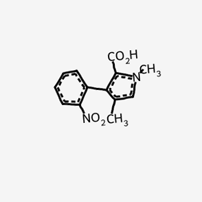 Cc1cn(C)c(C(=O)O)c1-c1ccccc1[N+](=O)[O-]